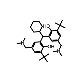 CN(C)Cc1cc(C(c2cc(CN(C)C)cc(C(C)(C)C)c2O)C2CCCCC2)c(O)c(C(C)(C)C)c1